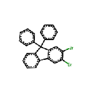 Brc1cc2c(cc1Br)C(c1ccccc1)(c1ccccc1)c1ccccc1-2